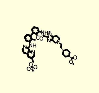 COC(=O)[C@H]1CC[C@H](CCN2CCc3c(nc(C(=O)Nc4cccc(-c5cccc(Nc6nccc7cc(COS(C)(=O)=O)cnc67)c5C)c4Cl)n3C)C2)CC1